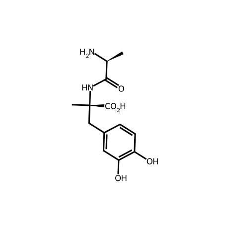 C[C@H](N)C(=O)N[C@@](C)(Cc1ccc(O)c(O)c1)C(=O)O